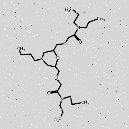 CCCCN1CC(COCC(=O)N(CCC)CCC)OC(COCC(=O)N(CCC)CCC)C1